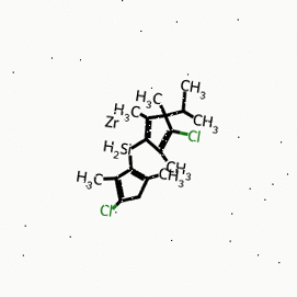 CC1=C([SiH2]C2=C(C)C(C)(C(C)C)C(Cl)=C2C)C(C)=C(Cl)C1.[Zr]